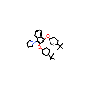 CC(C)(C)C1CCC(Oc2cc(OC3CCC(C(C)(C)C)CC3)c3ccccc3c2N2CCCC2)CC1